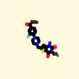 CNC(=O)c1ccc(N2CCN(Cc3cc4[nH]c(=O)n(C)c(=O)c4s3)CC2)c(F)c1